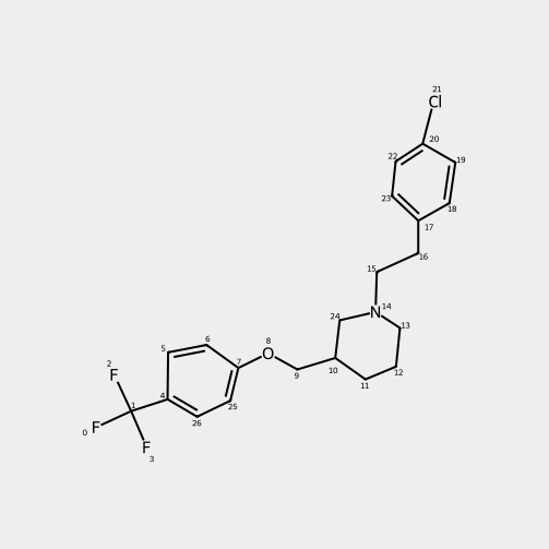 FC(F)(F)c1ccc(OCC2CCCN(CCc3ccc(Cl)cc3)C2)cc1